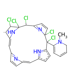 CN1CC=CC=C1C1(Cl)c2ccc([nH]2)C=C2C=CC(=N2)C=C2[CH]C(Cl)C(Cl)(N2)C(Cl)C2=NC1(Cl)C=C2